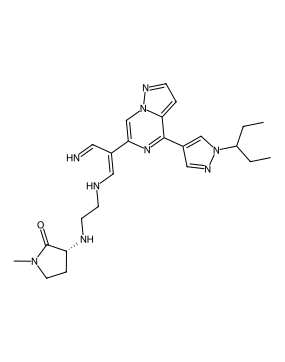 CCC(CC)n1cc(-c2nc(/C(C=N)=C/NCCN[C@@H]3CCN(C)C3=O)cn3nccc23)cn1